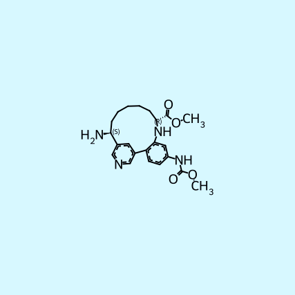 COC(=O)Nc1ccc2c(c1)N[C@@H](C(=O)OC)CCCCC[C@H](N)c1cncc-2c1